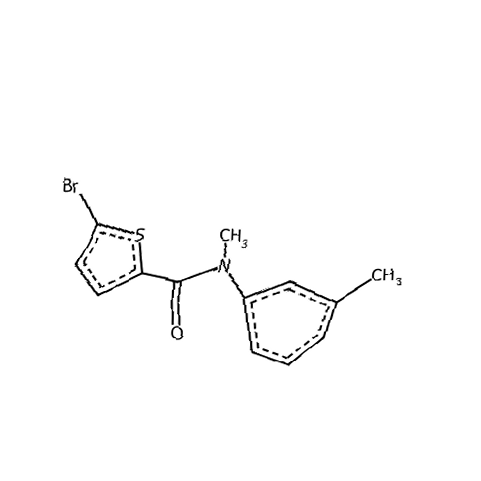 Cc1cccc(N(C)C(=O)c2ccc(Br)s2)c1